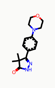 CC1(C)C(=O)NN=C1c1ccc(N2CCOCC2)cc1